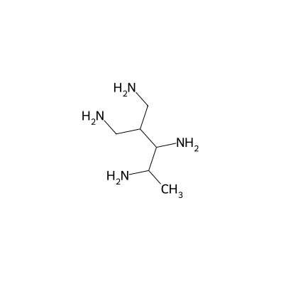 CC(N)C(N)C(CN)CN